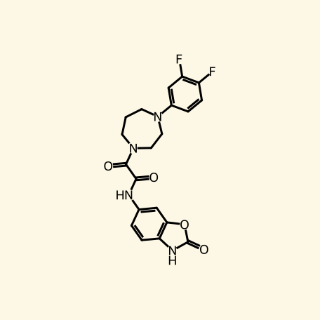 O=C(Nc1ccc2[nH]c(=O)oc2c1)C(=O)N1CCCN(c2ccc(F)c(F)c2)CC1